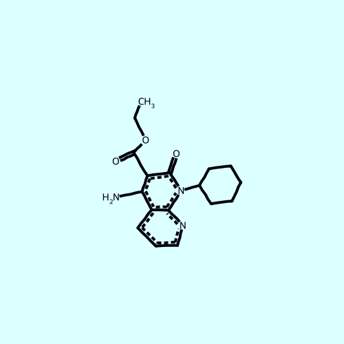 CCOC(=O)c1c(N)c2cccnc2n(C2CCCCC2)c1=O